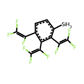 FC(F)=C(F)c1ccc([SiH3])c(C(F)=C(F)F)c1C(F)=C(F)F